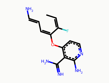 C\C=C(F)/C(=C\C=C\N)Oc1ccnc(N)c1C(=N)N